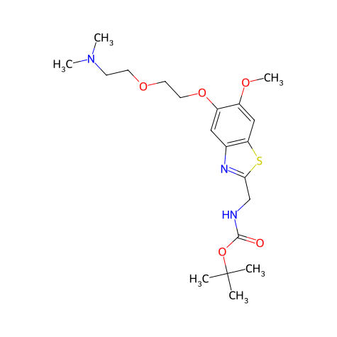 COc1cc2sc(CNC(=O)OC(C)(C)C)nc2cc1OCCOCCN(C)C